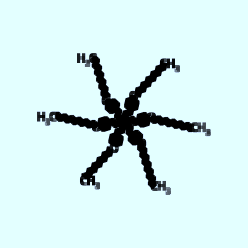 CCCCCCCCCCCCOc1ccc(CCc2c(CCc3ccc(OCCCCCCCCCCCC)cc3)c(CCc3ccc(OCCCCCCCCCCCC)cc3)c(CCc3ccc(OCCCCCCCCCCCC)cc3)c(CCc3ccc(OCCCCCCCCCCCC)cc3)c2CCc2ccc(OCCCCCCCCCCCC)cc2)cc1